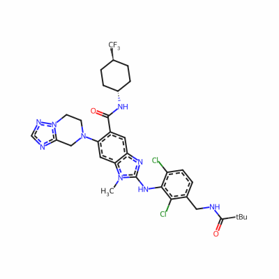 Cn1c(Nc2c(Cl)ccc(CNC(=O)C(C)(C)C)c2Cl)nc2cc(C(=O)N[C@H]3CC[C@H](C(F)(F)F)CC3)c(N3CCn4ncnc4C3)cc21